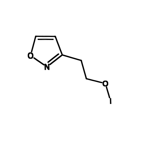 IOCCc1ccon1